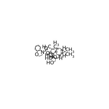 CC1=C[C@]23C(O)[C@@H](C=C(CO)[C@@H](O)[C@]2(O)[C@H]1OC(=O)N1CCOc2ccccc21)[C@H]1[C@@H](C[C@H]3C)C1(C)C